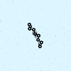 c1cc(-c2ncc3oc4c(-c5cccc(-c6cccc7c6sc6ccccc67)c5)cccc4c3n2)cc(-c2cccc3c2sc2ccccc23)c1